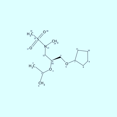 CC(C)O[C@H](COC1CCCC1)CN(C)S(C)(=O)=O